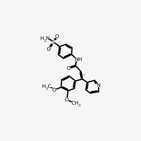 COc1ccc(/C(=C\C(=O)Nc2ccc(S(N)(=O)=O)cc2)c2cccnc2)cc1OC